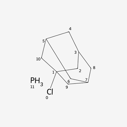 ClC12CC3CC(CC(C3)C1)C2.P